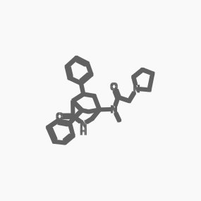 CN(C(=O)CN1CCCC1)C12CNC(=O)C(C(c3ccccc3)C1)C(c1ccccc1)C2